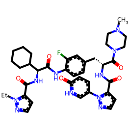 CCn1nccc1C(=O)N[C@H](C(=O)Nc1ccc(C[C@@H](NC(=O)c2ccnn2-c2ccc(=O)[nH]c2)C(=O)N2CCN(C)CC2)cc1F)C1CCCCC1